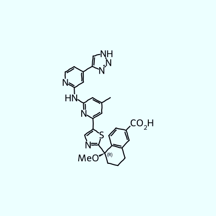 CO[C@]1(c2ncc(-c3cc(C)cc(Nc4cc(-c5c[nH]nn5)ccn4)n3)s2)CCCc2cc(C(=O)O)ccc21